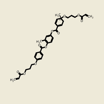 C=CC(=O)OCCCOc1ccc(C(=O)Oc2ccc(OC(=O)C3=CC[C@@](C)(OCCCOC(=O)C=C)C=C3)cc2C)cc1